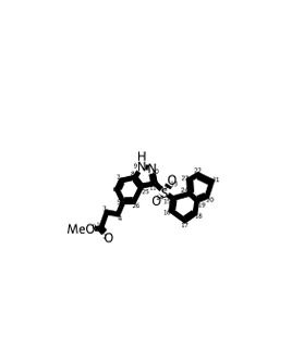 COC(=O)CCc1ccc2[nH]nc(S(=O)(=O)c3cccc4ccccc34)c2c1